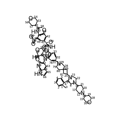 Cc1ccccc1[C@@H]1CN(C2CCN(C3CCOCC3)CC2)CCN1C1CC2(CCN(c3ccc(C(=O)NS(=O)(=O)c4cc5c(c([N+](=O)[O-])c4)N[C@H](C4CCOCC4)CO5)c(N4c5cc6cc[nH]c6nc5O[C@H]5COCC[C@@H]54)c3)CC2)C1